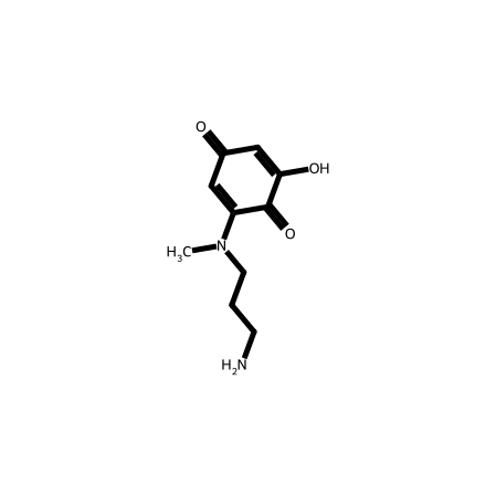 CN(CCCN)C1=CC(=O)C=C(O)C1=O